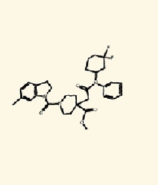 COC(=O)C1(CC(=O)N(c2ccccc2)C2CCCC(F)(F)C2)CCN(C(=O)N2CCc3ccc(C)cc32)CC1